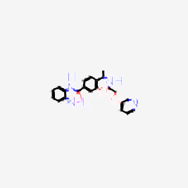 CC(NC(=O)COc1cccnc1)c1ccc(C(=O)Nc2ccccc2N)cc1